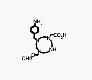 Nc1ccc(CN2CCN(COC=O)CCNCCN(CC(=O)O)CC2)cc1